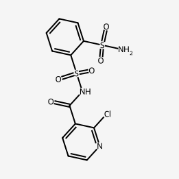 NS(=O)(=O)c1ccccc1S(=O)(=O)NC(=O)c1cccnc1Cl